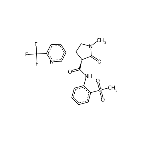 CN1C[C@@H](c2ccc(C(F)(F)F)nc2)[C@H](C(=O)Nc2ccccc2S(C)(=O)=O)C1=O